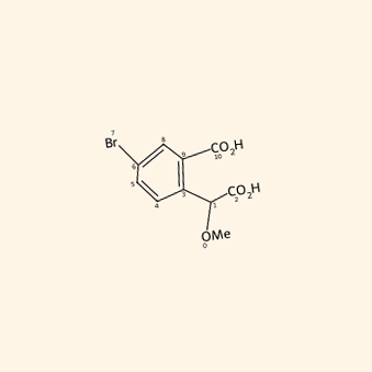 COC(C(=O)O)c1ccc(Br)cc1C(=O)O